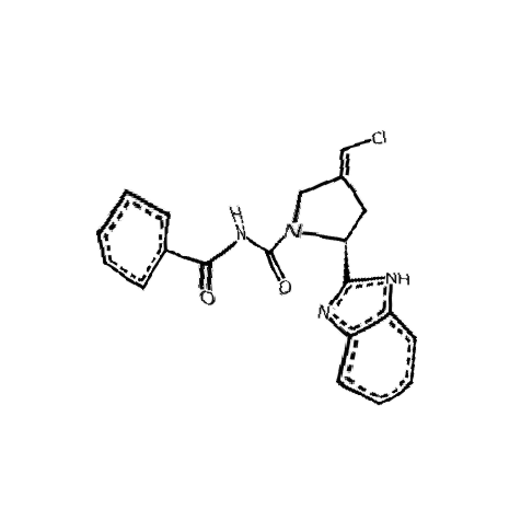 O=C(NC(=O)N1C/C(=C/Cl)C[C@H]1c1nc2ccccc2[nH]1)c1ccccc1